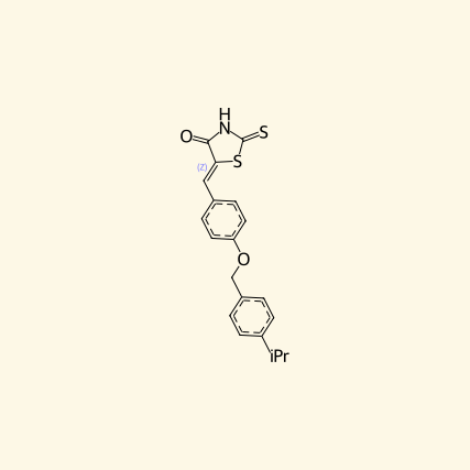 CC(C)c1ccc(COc2ccc(/C=C3\SC(=S)NC3=O)cc2)cc1